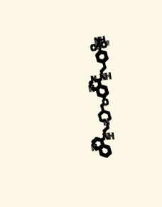 NS(=O)(=O)c1ccc(CCNc2ncnc3cc(OCC4CCN(CCNc5ccnc6ccccc56)CC4)ccc23)cc1